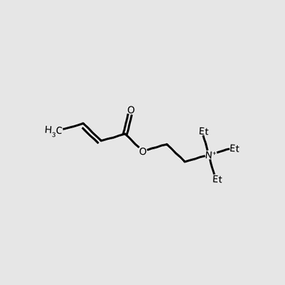 C/C=C/C(=O)OCC[N+](CC)(CC)CC